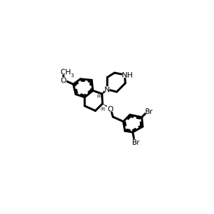 COc1ccc2c(c1)CC[C@@H](OCc1cc(Br)cc(Br)c1)[C@@H]2N1CCNCC1